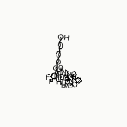 Cn1c(C(=O)N2CCN(C(=O)[C@H](C3CCCCC3)N(C(=O)O)C(C)(C)C)CC2)c(OCCOCCOCCOCCO)c2cc(F)c(F)cc21